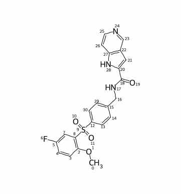 COc1ccc(F)cc1S(=O)(=O)c1ccc(CNC(=O)c2cc3cnccc3[nH]2)cc1